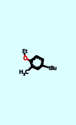 CCOc1ccc(C(C)(C)C)cc1C